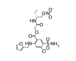 CC[C@H](CO[N+](=O)[O-])NC(=O)COC(=O)c1cc(S(N)(=O)=O)c(Cl)cc1NCc1ccco1